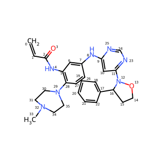 C=CC(=O)Nc1cc(Nc2cc(N3OCCC3c3ccccc3)ncn2)ccc1N1CCN(C)CC1